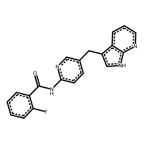 O=C(Nc1ccc(Cc2c[nH]c3ncccc23)cn1)c1ccccc1F